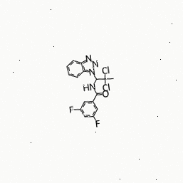 CC(Cl)(Cl)C(NC(=O)c1cc(F)cc(F)c1)n1nnc2ccccc21